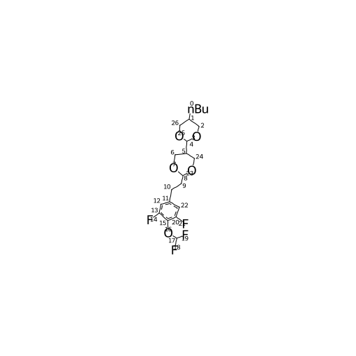 CCCCC1COC(C2COC(CCc3cc(F)c(OC(F)F)c(F)c3)OC2)OC1